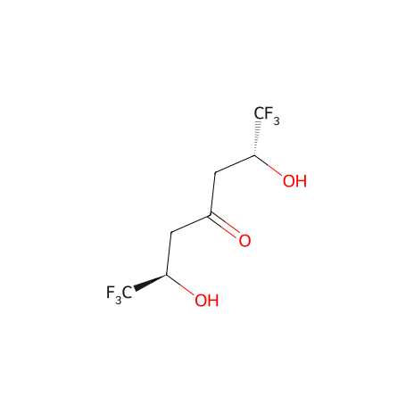 O=C(C[C@@H](O)C(F)(F)F)C[C@@H](O)C(F)(F)F